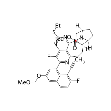 CC#Cc1c(F)ccc2cc(OCOC)cc(-c3nc4c5c(nc(SCC)nc5c3F)N3C[C@H]5CC[C@@H]([C@H]3CC4)N5C(=O)OC(C)(C)C)c12